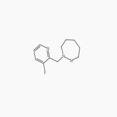 Fc1cccnc1CN1CCCCC[N]1